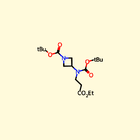 CCOC(=O)CCN(C(=O)OC(C)(C)C)C1CN(C(=O)OC(C)(C)C)C1